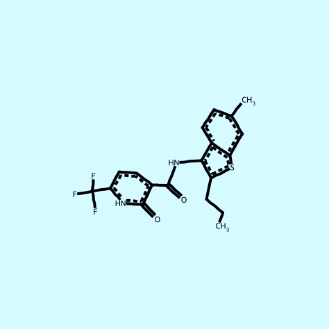 CCCc1sc2cc(C)ccc2c1NC(=O)c1ccc(C(F)(F)F)[nH]c1=O